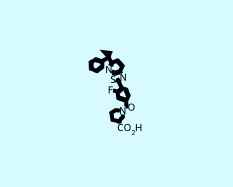 O=C(O)C1CCCN(C(=O)c2ccc(-c3nc4ccc(C5(c6ccccc6)CC5)nc4s3)c(F)c2)C1